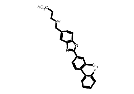 O=C(O)CCNCc1ccc2oc(-c3ccc(-c4ccccc4F)c(C(F)(F)F)c3)nc2c1